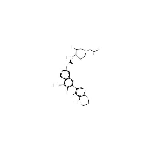 Cc1c(-c2cc3cc(OC(=O)NC4CCN(CC(F)F)CC4F)ncc3c(N)c2F)cnc2c1NCCO2